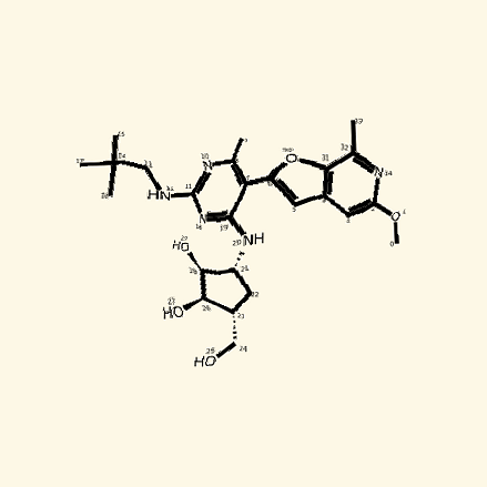 COc1cc2cc(-c3c(C)nc(NCC(C)(C)C)nc3N[C@@H]3C[C@H](CO)[C@@H](O)[C@H]3O)oc2c(C)n1